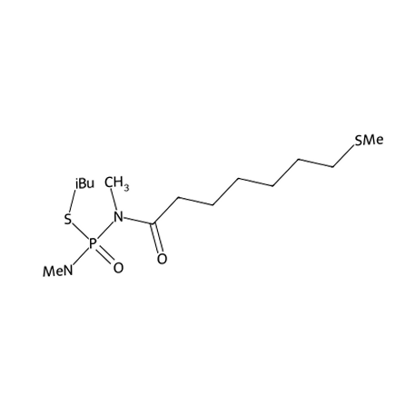 CCC(C)SP(=O)(NC)N(C)C(=O)CCCCCCSC